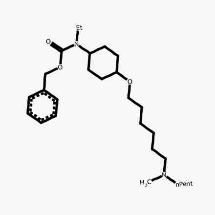 CCCCCN(C)CCCCCCOC1CCC(N(CC)C(=O)OCc2ccccc2)CC1